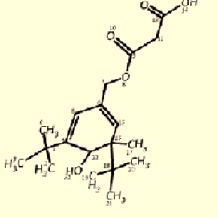 CC(C)(C)C1=CC(COC(=O)CC(=O)O)=CC(C)(C(C)(C)C)C1O